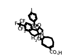 C=C1/C=C\C(C(=O)O)=C/CCCC1N1CC[C@@]2(S(=O)(=O)c3ccc(I)cc3)c3ccc(C(F)(C(F)(F)F)C(F)(F)F)cc3CC[C@@H]12